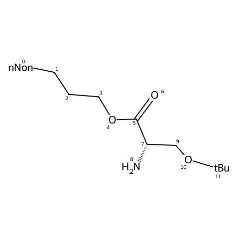 CCCCCCCCCCCCOC(=O)[C@@H](N)COC(C)(C)C